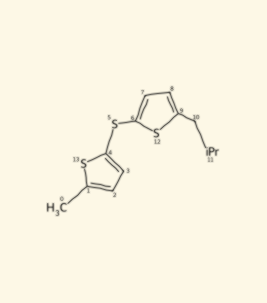 Cc1ccc(Sc2ccc(CC(C)C)s2)s1